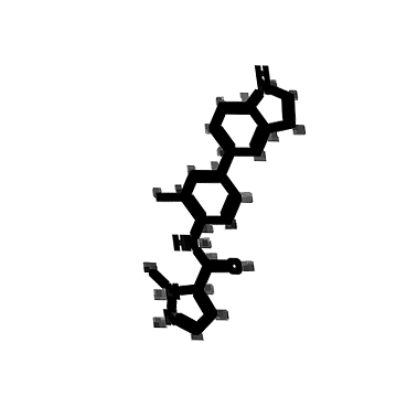 Cc1cc(-c2ccc3[nH]ccc3c2)ccc1NC(=O)c1ccnn1C